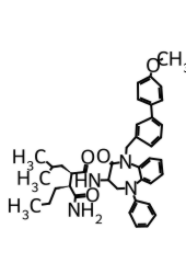 CCC[C@H](C(N)=O)[C@@H](CC(C)C)C(=O)NC1CN(c2ccccc2)c2ccccc2N(Cc2cccc(-c3ccc(OC)cc3)c2)C1=O